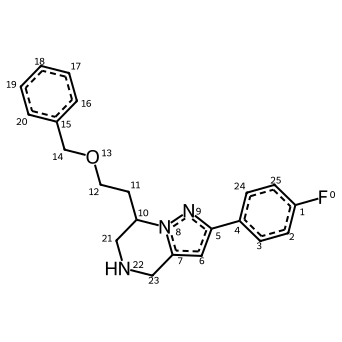 Fc1ccc(-c2cc3n(n2)C(CCOCc2ccccc2)CNC3)cc1